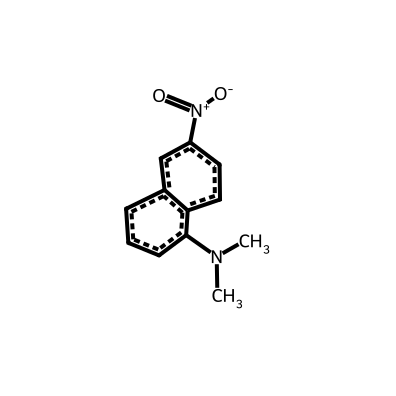 CN(C)c1cccc2cc([N+](=O)[O-])ccc12